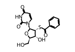 O=C(S[C@@H]1[C@H](O)[C@@H](CO)O[C@H]1n1ccc(=O)[nH]c1=O)c1ccccc1